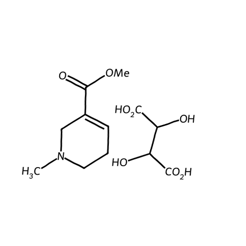 COC(=O)C1=CCCN(C)C1.O=C(O)C(O)C(O)C(=O)O